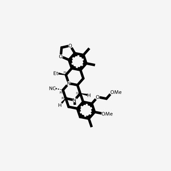 CC[C@H]1c2c(c(C)c(C)c3c2OCO3)CC2[C@@H]3c4c(cc(C)c(OC)c4OCOC)C[C@H]([C@H](C#N)N21)N3C